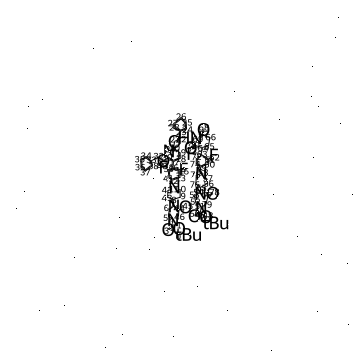 CC(C)(C)OC(=O)N1CCN(C2CCN(c3cc(F)c(-c4ccc(OCc5ccccc5)nc4OCc4ccccc4)c(F)c3)CC2)C(=O)C1.CC(C)(C)OC(=O)N1CCN(C2CCN(c3cc(F)c(C4CCC(=O)NC4=O)c(F)c3)CC2)C(=O)C1